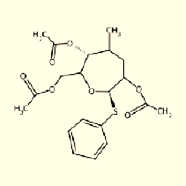 CC(=O)OCC1O[C@H](Sc2ccccc2)C(OC(C)=O)CC(C)[C@H]1OC(C)=O